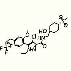 CCn1nc(C(=O)NC[C@]2(O)CC[C@@H](S(C)(=O)=O)CC2)c(Cl)c1-c1ccc(C[C@@H](C)C(F)(F)F)cc1OC